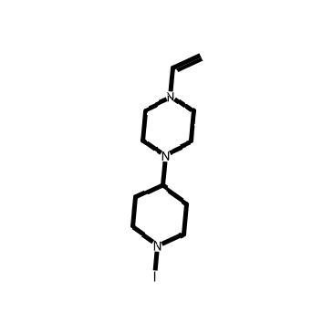 C=CN1CCN(C2CCN(I)CC2)CC1